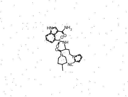 CC1CCN(C(=O)C(CCn2cccc2C#N)NS(=O)(=O)c2cccc3[nH]cc(C(N)=O)c23)CC1